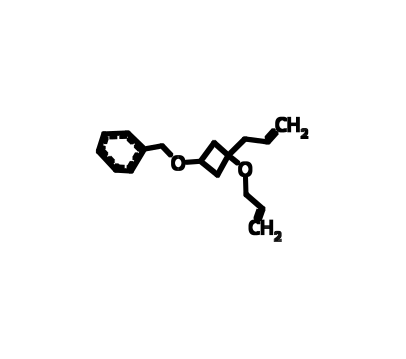 C=CCOC1(CC=C)CC(OCc2ccccc2)C1